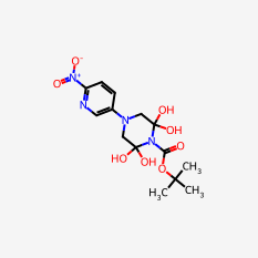 CC(C)(C)OC(=O)N1C(O)(O)CN(c2ccc([N+](=O)[O-])nc2)CC1(O)O